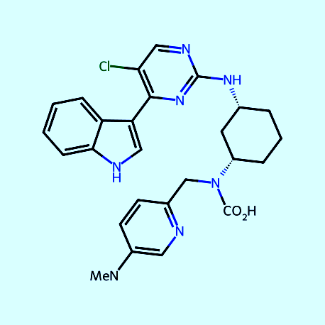 CNc1ccc(CN(C(=O)O)[C@H]2CCC[C@@H](Nc3ncc(Cl)c(-c4c[nH]c5ccccc45)n3)C2)nc1